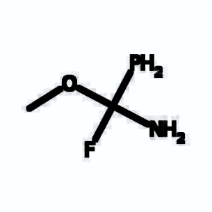 COC(N)(F)P